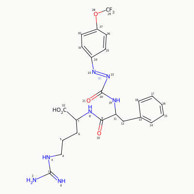 N=C(N)NCCCC(NC(=O)C(Cc1ccccc1)NC(=O)/N=N/c1ccc(OC(F)(F)F)cc1)C(=O)O